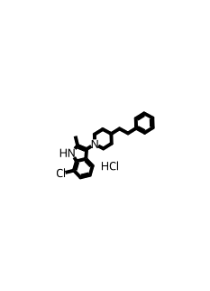 Cc1[nH]c2c(Cl)cccc2c1N1CCC(CCc2ccccc2)CC1.Cl